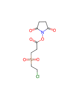 O=C(CCS(=O)(=O)CCCl)ON1C(=O)CCC1=O